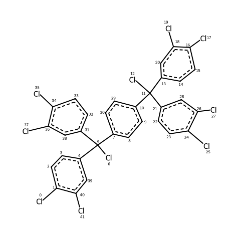 Clc1ccc(C(Cl)(c2ccc(C(Cl)(c3ccc(Cl)c(Cl)c3)c3ccc(Cl)c(Cl)c3)cc2)c2ccc(Cl)c(Cl)c2)cc1Cl